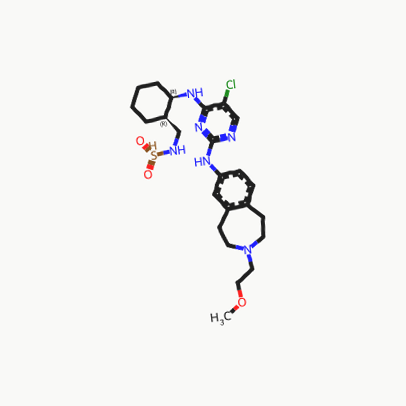 COCCN1CCc2ccc(Nc3ncc(Cl)c(N[C@@H]4CCCC[C@@H]4CN[SH](=O)=O)n3)cc2CC1